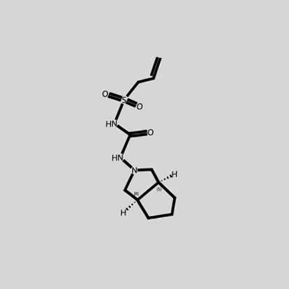 C=CCS(=O)(=O)NC(=O)NN1C[C@H]2CCC[C@H]2C1